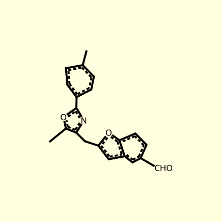 Cc1ccc(-c2nc(Cc3cc4cc(C=O)ccc4o3)c(C)o2)cc1